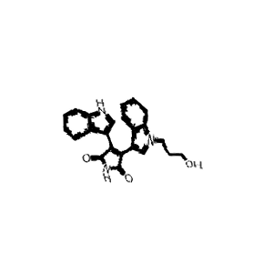 O=C1NC(=O)C(c2cn(CCCO)c3ccccc23)=C1c1c[nH]c2ccccc12